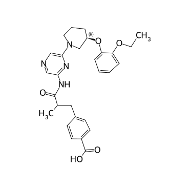 CCOc1ccccc1O[C@@H]1CCCN(c2cncc(NC(=O)C(C)Cc3ccc(C(=O)O)cc3)n2)C1